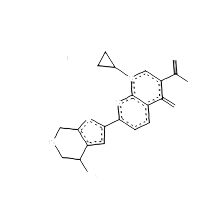 CC1CNCc2sc(-c3ccc4c(=O)c(C(=O)O)cn(C5CC5)c4n3)cc21.Cl